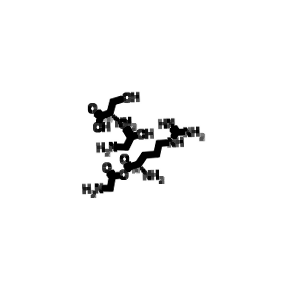 N=C(N)NCCC[C@H](N)C(=O)OC(=O)CN.NCC(=O)O.N[C@@H](CO)C(=O)O